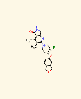 Cc1c(N2CC[C@@H](Oc3ccc4c(c3)COC4)[C@@H](F)C2)nc2c(c1C)C(=O)NC2